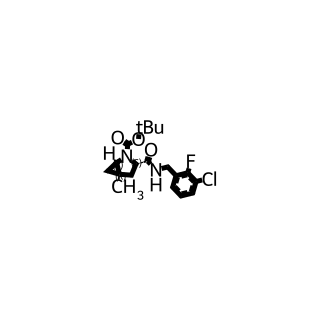 CC(C)(C)OC(=O)N1[C@H](C(=O)NCc2cccc(Cl)c2F)C[C@@]2(C)C[C@@H]12